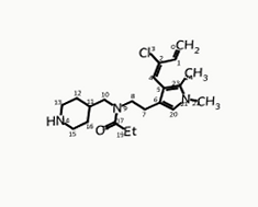 C=C/C(Cl)=C\c1c(CCN(CC2CCNCC2)C(=O)CC)cn(C)c1C